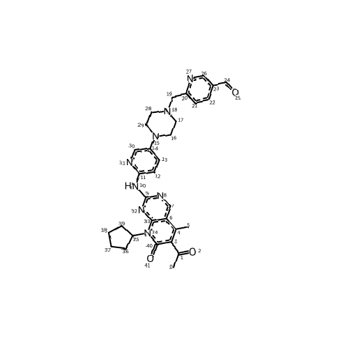 CC(=O)c1c(C)c2cnc(Nc3ccc(N4CCN(Cc5ccc(C=O)cn5)CC4)cn3)nc2n(C2CCCC2)c1=O